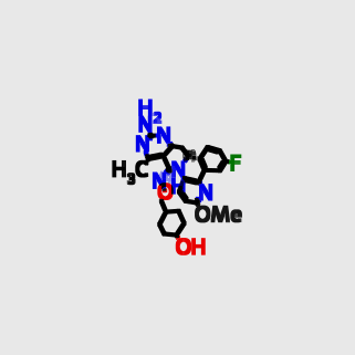 COc1cccc(-c2cc(F)ccc2[C@H]2Cc3nc(N)nc(C)c3/C(=N/OCC3CCC(O)CC3)N2)n1